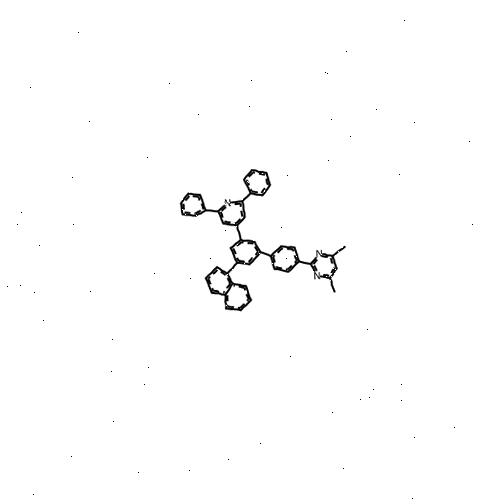 Cc1cc(C)nc(-c2ccc(-c3cc(-c4cc(-c5ccccc5)nc(-c5ccccc5)c4)cc(-c4cccc5ccccc45)c3)cc2)n1